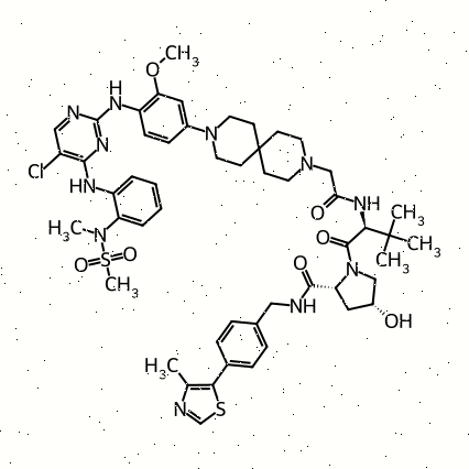 COc1cc(N2CCC3(CCN(CC(=O)N[C@H](C(=O)N4C[C@H](O)C[C@@H]4C(=O)NCc4ccc(-c5scnc5C)cc4)C(C)(C)C)CC3)CC2)ccc1Nc1ncc(Cl)c(Nc2ccccc2N(C)S(C)(=O)=O)n1